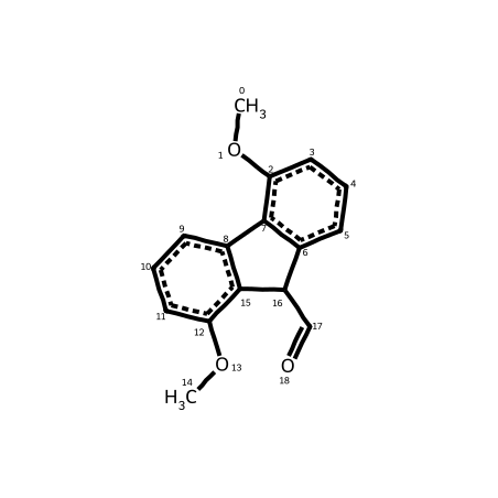 COc1cccc2c1-c1cccc(OC)c1C2C=O